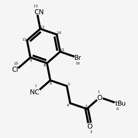 CC(C)(C)OC(=O)CCC(C#N)c1c(Cl)cc(C#N)cc1Br